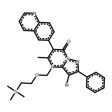 Cc1c(-c2ccc3ncccc3c2)c(=O)n2nc(-c3ccccc3)c(Br)c2n1COCC[Si](C)(C)C